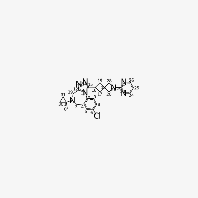 CC1(N2Cc3cc(Cl)ccc3-n3c(nnc3C3CC4(C3)CN(c3ncccn3)C4)C2)CC1